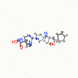 O=C(NO)c1cnc(N2CCC(NC(/C=C/c3ccccc3)CO)CC2)nc1